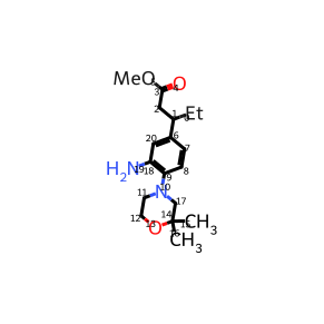 CCC(CC(=O)OC)c1ccc(N2CCOC(C)(C)C2)c(N)c1